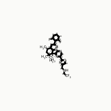 C[C@@H]1CC(C)(C)[C@@](C)(c2cncc(-c3nc(CNCC(F)(F)F)co3)n2)c2nnc(-c3c(F)cccc3F)cc21